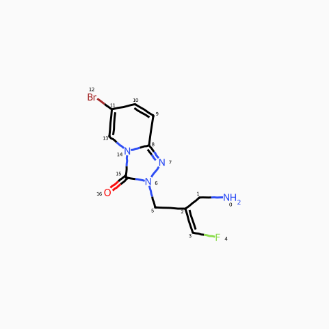 NC/C(=C\F)Cn1nc2ccc(Br)cn2c1=O